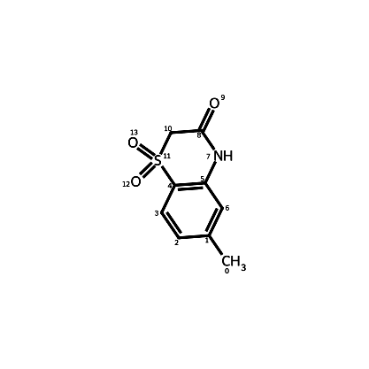 Cc1ccc2c(c1)NC(=O)CS2(=O)=O